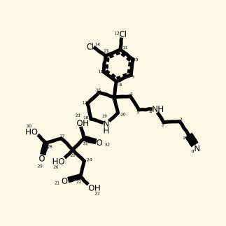 N#CCCNCCC1(c2ccc(Cl)c(Cl)c2)CCCNC1.O=C(O)CC(O)(CC(=O)O)C(=O)O